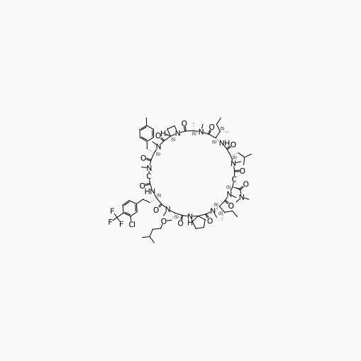 CC[C@H](C)[C@@H]1NC(=O)[C@H](CC(C)C)N(C)C(=O)C[C@@H](C(=O)N(C)C)N(C)C(=O)[C@H]([C@@H](C)CC)N(C)C(=O)C2(CCCC2)NC(=O)[C@H](COCCC(C)C)N(C)C(=O)[C@H](CCc2ccc(C(F)(F)F)c(Cl)c2)NC(=O)CN(C)C(=O)[C@H](Cc2ccc(C)cc2)N(C)C(=O)[C@@H]2CCN2C(=O)[C@H](C)N(C)C1=O